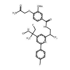 COc1cc(C(=O)NCC(c2cc(C(C)(CF)NCl)cc(-c3ccc(F)cc3)n2)C(F)(F)F)ccc1OCC(N)=O